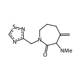 C=C1CCCN(Cc2ncsn2)C(=O)C1NC